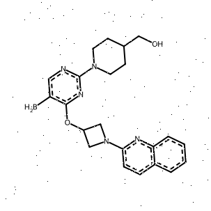 Bc1cnc(N2CCC(CO)CC2)nc1OC1CN(c2ccc3ccccc3n2)C1